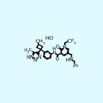 Cc1[nH]nnc1C1(c2cccc(NC(=O)c3cc(CNCC(C)C)cn(CC(F)(F)F)c3=O)c2)CC(C)C1.Cl